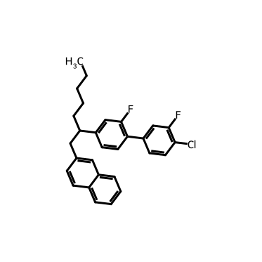 CCCCCC(Cc1ccc2ccccc2c1)c1ccc(-c2ccc(Cl)c(F)c2)c(F)c1